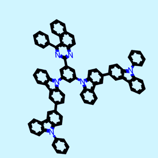 c1ccc(-c2nc(-c3cc(-n4c5ccccc5c5cc(-c6ccc7c(c6)c6ccccc6n7-c6ccccc6)ccc54)cc(-n4c5ccccc5c5cc(-c6ccc7c(c6)c6ccccc6n7-c6ccccc6)ccc54)c3)nc3ccc4ccccc4c23)cc1